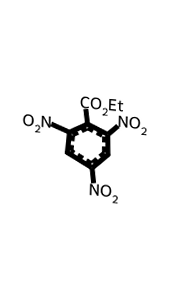 CCOC(=O)c1c([N+](=O)[O-])cc([N+](=O)[O-])cc1[N+](=O)[O-]